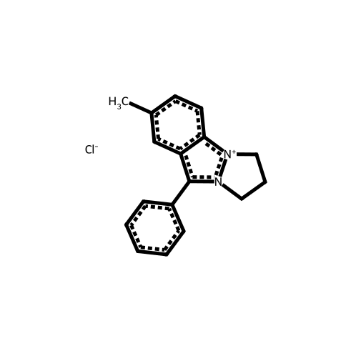 Cc1ccc2c(c1)c(-c1ccccc1)n1[n+]2CCC1.[Cl-]